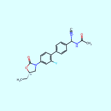 [C-]#[N+]C(NC(C)=O)c1ccc(-c2ccc(N3C[C@H](CC)OC3=O)cc2F)cc1